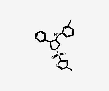 Cc1cccc(NC2CN(S(=O)(=O)c3cn(C)cn3)CC2c2ccccc2)c1